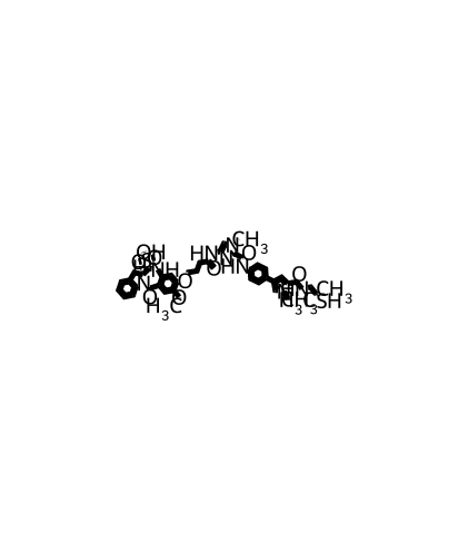 COc1cc2c(cc1OCCCC(=O)Nc1cn(C)c(C(=O)Nc3ccc(-c4cc(C(=O)NCC(C)(C)S)n(C)c4)cc3)n1)NC(S(=O)(=O)O)[C@@H]1Cc3ccccc3N1C2=O